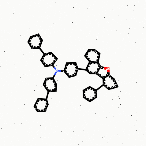 c1ccc(-c2ccc(N(c3ccc(-c4ccccc4)cc3)c3ccc(-c4cc5c(oc6cccc(-c7ccccc7)c65)c5ccccc45)cc3)cc2)cc1